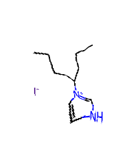 CCCC(CCC)[n+]1cc[nH]c1.[I-]